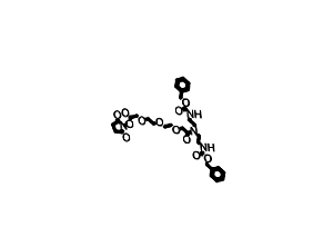 O=C(COCCOCCOCC(=O)N(CCNC(=O)OCc1ccccc1)CCNC(=O)OCc1ccccc1)ON1C(=O)CCC1=O